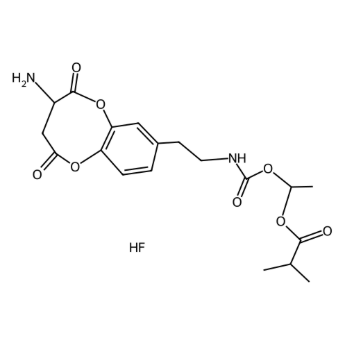 CC(OC(=O)NCCc1ccc2c(c1)OC(=O)C(N)CC(=O)O2)OC(=O)C(C)C.F